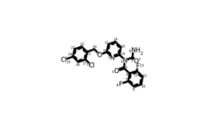 NC(=O)N(C(=O)c1c(F)cccc1F)c1cccc(OCc2ccc(Cl)cc2Cl)n1